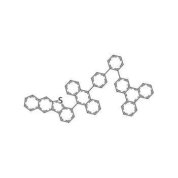 c1ccc(-c2ccc3c4ccccc4c4ccccc4c3c2)c(-c2ccc(-c3c4ccccc4c(-c4cccc5c4sc4cc6ccccc6cc45)c4ccccc34)cc2)c1